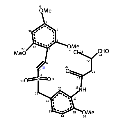 COc1cc(OC)c(/C=C/S(=O)(=O)Cc2ccc(OC)c(NC(=O)CC(Cl)C=O)c2)c(OC)c1